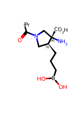 CC(C)C(=O)N1C[C@H](CCCB(O)O)[C@](N)(C(=O)O)C1